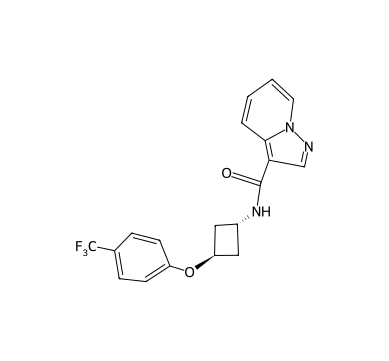 O=C(N[C@H]1C[C@H](Oc2ccc(C(F)(F)F)cc2)C1)c1cnn2ccccc12